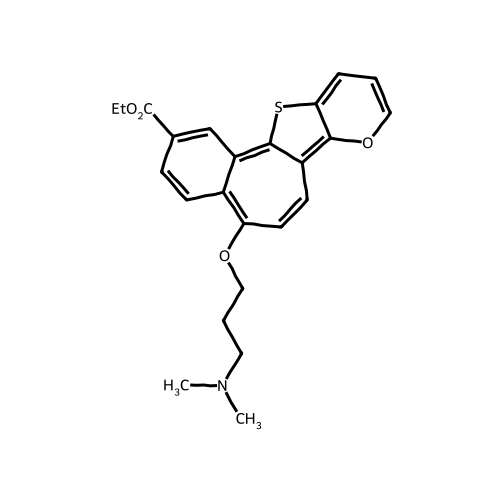 CCOC(=O)c1ccc2c(c1)=c1sc3c(c1C=CC=2OCCCN(C)C)OC=CC=3